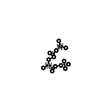 c1ccc(-c2nc(-c3ccccc3)nc(-c3ccc(-n4c5ccccc5c5c(-c6cccc(-c7nc(-c8ccccc8)nc(-n8c9ccccc9c9cc(-c%10ccc([Si](c%11ccccc%11)(c%11ccccc%11)c%11ccccc%11)cc%10)ccc98)n7)c6)cccc54)cc3)n2)cc1